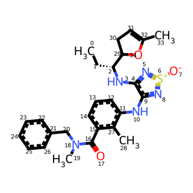 CC[C@@H](Nc1n[s+]([O-])nc1Nc1cccc(C(=O)N(C)Cc2ccccc2)c1C)C1CC=C(C)O1